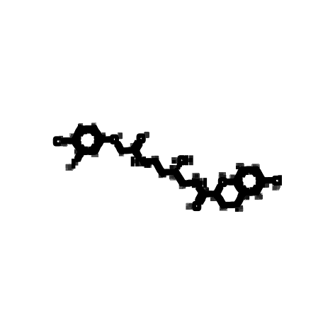 O=C(COc1ccc(Cl)c(F)c1)NCC[C@H](O)CNC(=O)C1CCc2cc(Cl)ccc2O1